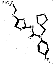 CCOC(=O)CSc1cnc(NC(=O)N(CC2CCCC2)c2ccc(C(F)(F)F)cc2)s1